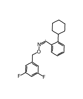 Fc1cc(F)cc(CO/N=[C]\c2ccccc2C2CCCCC2)c1